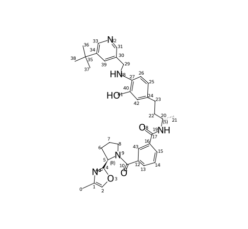 Cc1coc([C@H]2CCCN2C(=O)c2cccc(C(=O)N[C@@H](C)CCc3ccc(NCc4cncc(C(C)(C)C)c4)c(O)c3)c2)n1